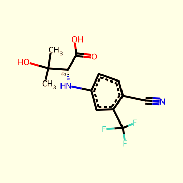 CC(C)(O)[C@@H](Nc1ccc(C#N)c(C(F)(F)F)c1)C(=O)O